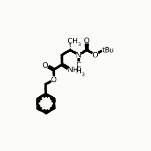 C[C@@H](CC(=N)C(=O)OCc1ccccc1)N(C)C(=O)OC(C)(C)C